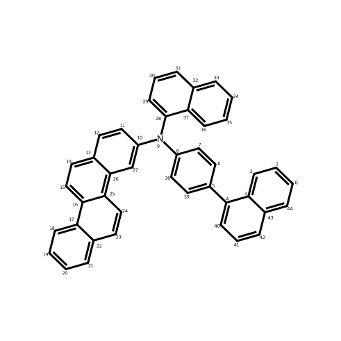 c1ccc2c(-c3ccc(N(c4ccc5ccc6c7ccccc7ccc6c5c4)c4cccc5ccccc45)cc3)cccc2c1